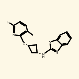 Fc1ccc(I)c(O[C@H]2C[C@@H](Nc3nc4ccccc4s3)C2)n1